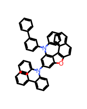 c1ccc(-c2cccc(N(c3ccccc3)c3cc(N(c4ccccc4)c4ccccc4-c4ccccc4)cc4oc5ccc6ccccc6c5c34)c2)cc1